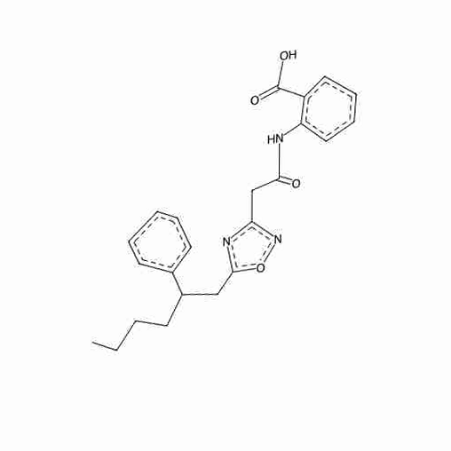 CCCCC(Cc1nc(CC(=O)Nc2ccccc2C(=O)O)no1)c1ccccc1